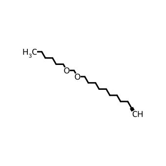 C#CCCCCCCCCCOCOCCCCCC